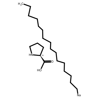 CCCCCCCCCCCCCCC[CH2][Na].O=C(O)[C@@H]1CCCN1